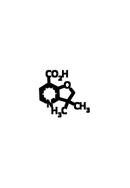 CC1(C)COc2c(C(=O)O)ccnc21